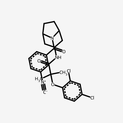 [C-]#[N+]c1cccc(C(=O)N2C3CCC2CC(NC(=O)C(C)(C)Oc2ccc(Cl)cc2Cl)C3)c1